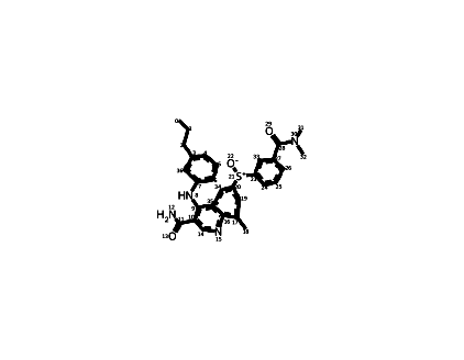 CCCc1cccc(Nc2c(C(N)=O)cnc3c(C)cc([S+]([O-])c4cccc(C(=O)N(C)C)c4)cc23)c1